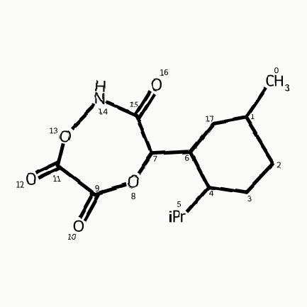 CC1CCC(C(C)C)C(C2OC(=O)C(=O)ONC2=O)C1